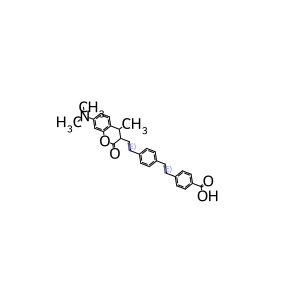 CC1c2ccc(N(C)C)cc2OC(=O)C1/C=C/c1ccc(/C=C/c2ccc(C(=O)O)cc2)cc1